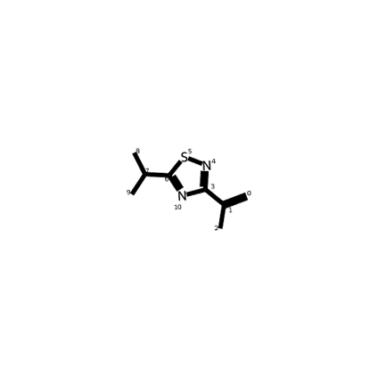 C=C(C)c1nsc(C(C)C)n1